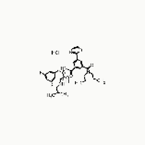 CCCN(CCC)C(=O)c1cc(C(=O)N[C@@H](Cc2cc(F)cc(F)c2)[C@H](O)CNCC(C)C)cc(-c2ncco2)c1.Cl